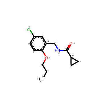 CCCOc1ccc(Cl)cc1CNC(=O)C1CC1